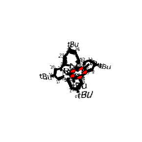 CC(C)(C)c1cc[n+]2c(c1)-c1cc(C(C)(C)C)cc[n+]1[Ru]213([n+]2ccc(C(C)(C)C)cc2-c2cc(C(C)(C)C)cc[n+]21)[n+]1ccc(C(C)(C)C)cc1-c1cc(C(C)(C)C)cc[n+]13